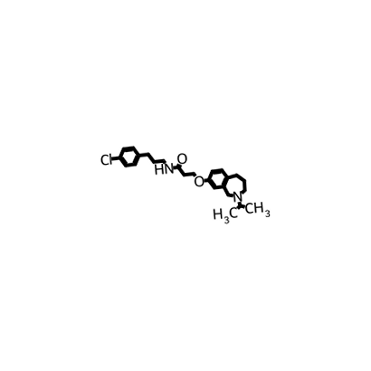 CC(C)N1CCCc2ccc(OCCC(=O)NCCCc3ccc(Cl)cc3)cc2C1